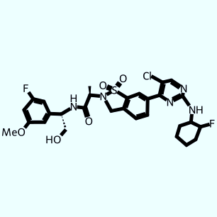 COc1cc(F)cc([C@@H](CO)NC(=O)[C@@H](C)N2Cc3ccc(-c4nc(NC5CCCCC5F)ncc4Cl)cc3S2(=O)=O)c1